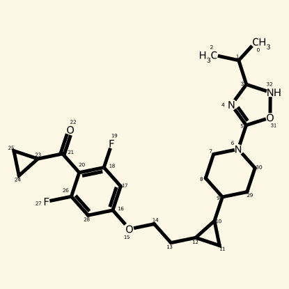 CC(C)C1N=C(N2CCC(C3CC3CCOc3cc(F)c(C(=O)C4CC4)c(F)c3)CC2)ON1